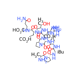 CC[C@H](C)[C@H](NC(=O)[C@@H]1CCCN1C(=O)[C@H](C)N)C(=O)N[C@@H](CCCNC(=N)N)C(=O)N[C@@H](CC(=O)O)C(=O)N1CCC[C@H]1C(=O)N[C@@H](CCCCN)C(=O)N[C@H](C(=O)N[C@@H](CCC(=O)O)C(=O)N[C@@H](CCC(N)=O)C(=O)O)[C@@H](C)O